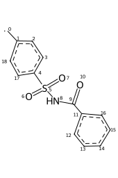 [CH2]c1ccc(S(=O)(=O)NC(=O)c2ccccc2)cc1